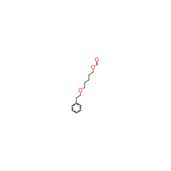 O=COCCCCCOCCc1ccccc1